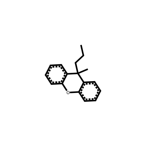 CCCC1(C)c2ccccc2Oc2ccccc21